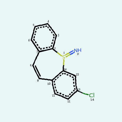 N=S1c2ccccc2C=Cc2ccc(Cl)cc21